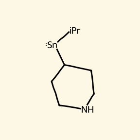 C[CH](C)[Sn][CH]1CCNCC1